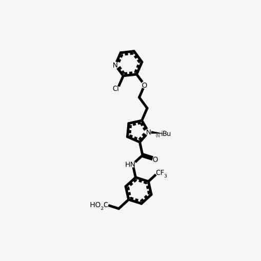 CC[C@H](C)n1c(CCOc2cccnc2Cl)ccc1C(=O)Nc1cc(CC(=O)O)ccc1C(F)(F)F